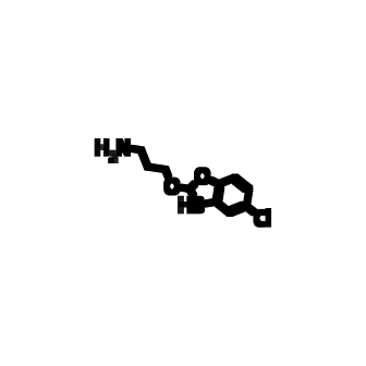 NCCCOC1Bc2cc(Cl)ccc2O1